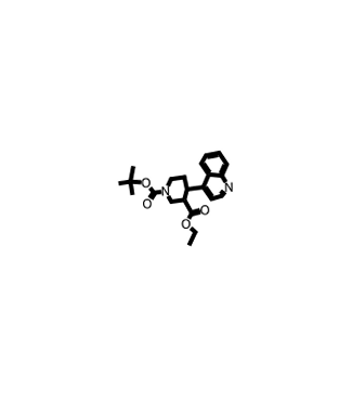 CCOC(=O)C1CN(C(=O)OC(C)(C)C)CCC1c1ccnc2ccccc12